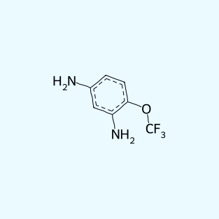 Nc1ccc(OC(F)(F)F)c(N)c1